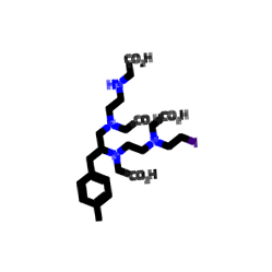 Cc1ccc(CC(CN(CCNCC(=O)O)CC(=O)O)N(CCN(CCI)CC(=O)O)CC(=O)O)cc1